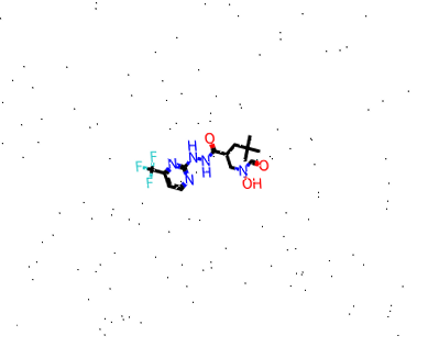 CC(C)(C)CC(CN(O)C=O)C(=O)NNc1nccc(C(F)(F)F)n1